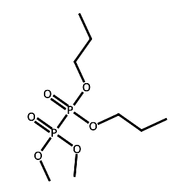 CCCOP(=O)(OCCC)P(=O)(OC)OC